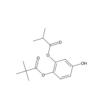 CC(C)C(=O)Oc1cc(O)ccc1OC(=O)C(C)(C)C